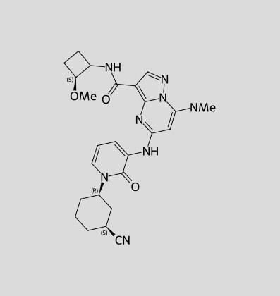 CNc1cc(Nc2cccn([C@@H]3CCC[C@H](C#N)C3)c2=O)nc2c(C(=O)NC3CC[C@@H]3OC)cnn12